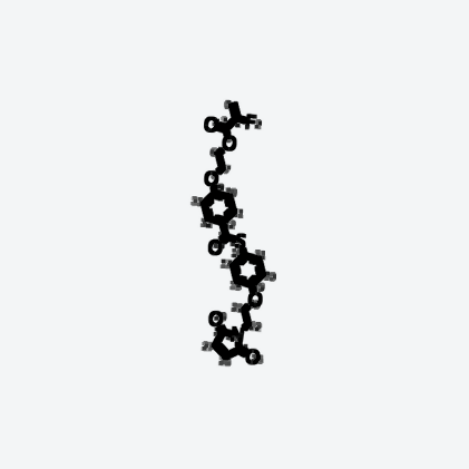 C=C(F)C(=O)OCCOc1ccc(C(=O)Sc2ccc(OCCN3C(=O)C=CC3=O)cc2)cc1